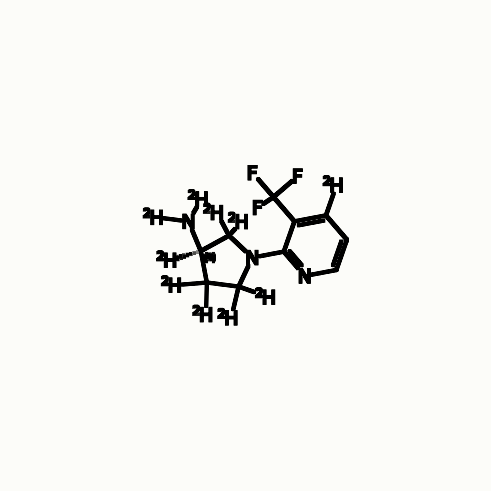 [2H]c1ccnc(N2C([2H])([2H])C([2H])([2H])[C@@]([2H])(N([2H])[2H])C2([2H])[2H])c1C(F)(F)F